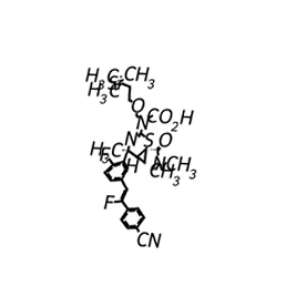 CN(C)C(=O)[C@]12C[C@H]1[C@@](C)(c1cc(/C=C(\F)c3ccc(C#N)cc3)ccc1F)N=C(N(COCC[Si](C)(C)C)C(=O)O)S2